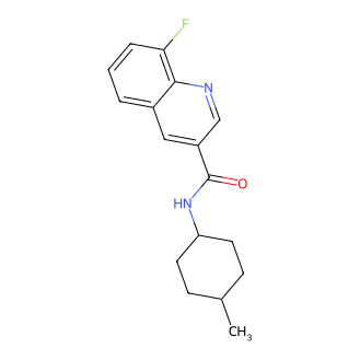 CC1CCC(NC(=O)c2cnc3c(F)cccc3c2)CC1